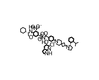 CC(C)c1ccccc1[C@H]1CCCN1C1CC2(CCN(c3ccc(C(=O)NS(=O)(=O)c4cc5c(c([N+](=O)[O-])c4)N[C@@H](C4CCCCC4)CO5)c(Oc4cc5cc[nH]c5nc4Cl)c3)CC2)C1